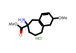 COC(=O)C1(N)CCCC2=C(C=CC(OC)C2)C1.Cl